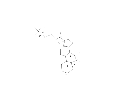 CC[C@H]1[C@@H](O)[C@@H]2[C@H](CC[C@]3(C)[C@@H]([C@H](C)CCNS(=O)(=O)C(C)(C)C(=O)O)CC[C@@H]23)[C@@]2(C)CC[C@@H](O)C[C@@H]12